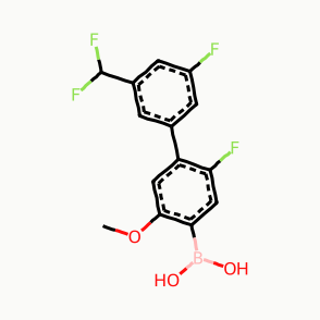 COc1cc(-c2cc(F)cc(C(F)F)c2)c(F)cc1B(O)O